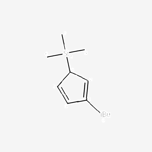 CCC(C)C1=CC([Si](C)(C)C)C=C1